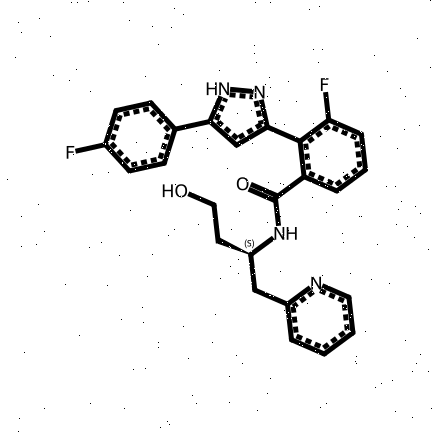 O=C(N[C@H](CCO)Cc1ccccn1)c1cccc(F)c1-c1cc(-c2ccc(F)cc2)[nH]n1